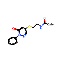 COC(=O)NCCSc1cnn(-c2ccccc2)c(=O)c1